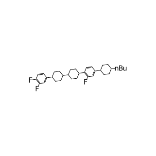 CCCCC1CCC(c2ccc(C3CCC(C4CCC(c5ccc(F)c(F)c5)CC4)CC3)c(F)c2)CC1